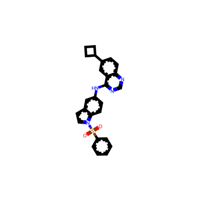 O=S(=O)(c1ccccc1)n1ccc2cc(Nc3ncnc4ccc(C5CCC5)cc34)ccc21